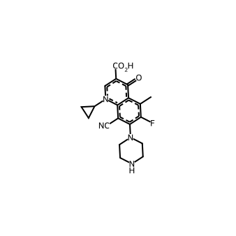 Cc1c(F)c(N2CCNCC2)c(C#N)c2c1c(=O)c(C(=O)O)cn2C1CC1